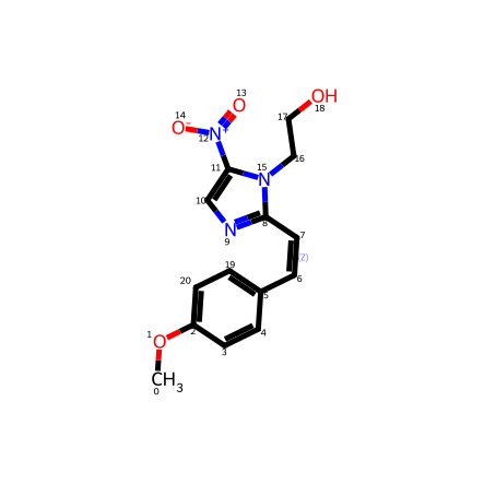 COc1ccc(/C=C\c2ncc([N+](=O)[O-])n2CCO)cc1